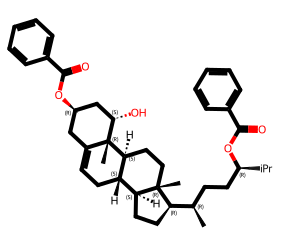 CC(C)[C@@H](CC[C@@H](C)[C@H]1CC[C@H]2[C@@H]3CC=C4C[C@@H](OC(=O)c5ccccc5)C[C@H](O)[C@]4(C)[C@H]3CC[C@]12C)OC(=O)c1ccccc1